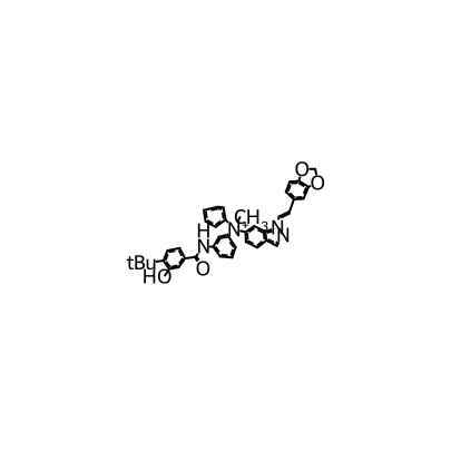 CC(C)(C)c1ccc(C(=O)Nc2cccc([N+](C)(c3ccccc3)c3ccc4cnn(C=Cc5ccc6c(c5)OCO6)c4c3)c2)cc1O